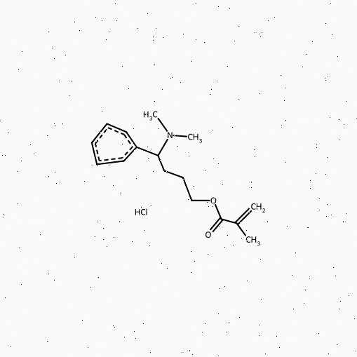 C=C(C)C(=O)OCCCC(c1ccccc1)N(C)C.Cl